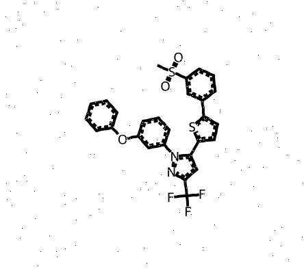 CS(=O)(=O)c1cccc(-c2ccc(-c3cc(C(F)(F)F)nn3-c3cccc(Oc4ccccc4)c3)s2)c1